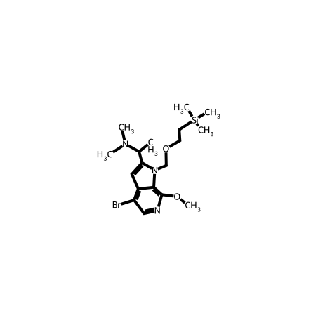 COc1ncc(Br)c2cc(C(C)N(C)C)n(COCC[Si](C)(C)C)c12